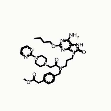 CCCCOc1nc(N)c2[nH]c(=O)n(CCCN(Cc3ccc(CC(=O)OC)cc3)C(=O)CN3CCN(c4ncccn4)CC3)c2n1